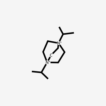 CC(C)[N+]12CC[N+](C(C)C)(CC1)CC2